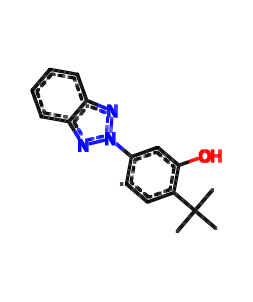 CC(C)(C)c1c[c]c(-n2nc3ccccc3n2)cc1O